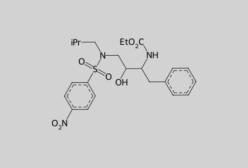 CCOC(=O)NC(Cc1ccccc1)C(O)CN(CC(C)C)S(=O)(=O)c1ccc([N+](=O)[O-])cc1